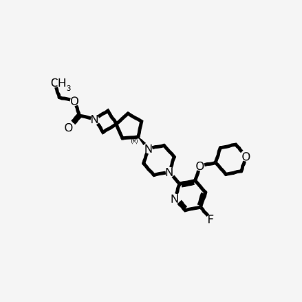 CCOC(=O)N1CC2(CC[C@@H](N3CCN(c4ncc(F)cc4OC4CCOCC4)CC3)C2)C1